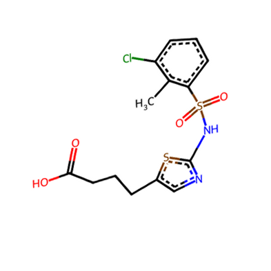 Cc1c(Cl)cccc1S(=O)(=O)Nc1ncc(CCCC(=O)O)s1